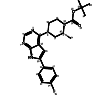 C[C@@H]1CN(c2ncnc3[nH]c(-c4ccc(F)cc4)cc23)CCN1C(=O)OC(C)(C)C